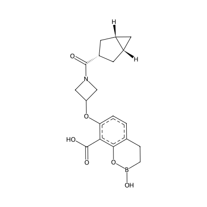 O=C(O)c1c(OC2CN(C(=O)[C@@H]3C[C@@H]4C[C@@H]4C3)C2)ccc2c1OB(O)CC2